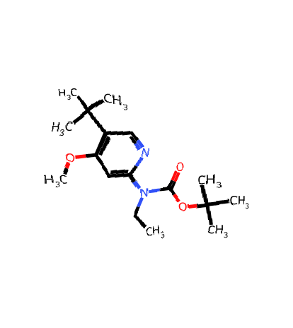 CCN(C(=O)OC(C)(C)C)c1cc(OC)c(C(C)(C)C)cn1